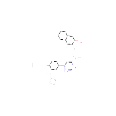 CCOc1cc2ccccc2cc1CCNc1cc(-c2ccc(C(=O)O)c(OC3CCC3)c2)ncn1